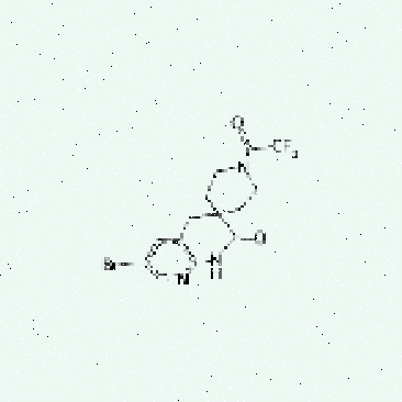 O=C(N1CCC2(CC1)Cc1cc(Br)cnc1NC2=O)C(F)(F)F